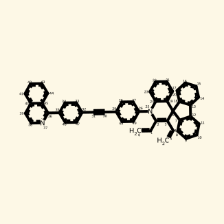 C=CC1=C(C=C)C2(c3ccccc3-c3ccccc32)c2ccccc2N1c1ccc(C#Cc2ccc(-c3nccc4ccccc34)cc2)cc1